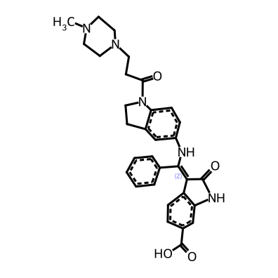 CN1CCN(CCC(=O)N2CCc3cc(N/C(=C4\C(=O)Nc5cc(C(=O)O)ccc54)c4ccccc4)ccc32)CC1